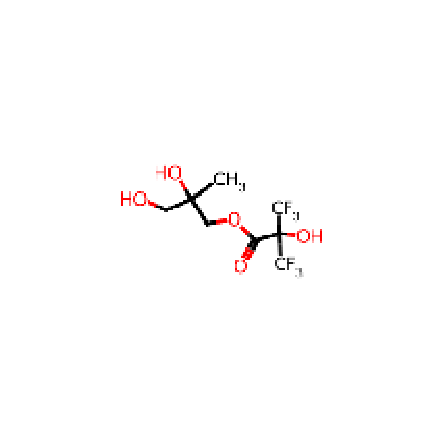 CC(O)(CO)COC(=O)C(O)(C(F)(F)F)C(F)(F)F